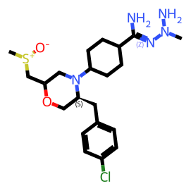 CN(N)/N=C(\N)C1CCC(N2CC(C[S+](C)[O-])OC[C@@H]2Cc2ccc(Cl)cc2)CC1